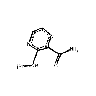 CC(C)Nc1nccnc1C(N)=O